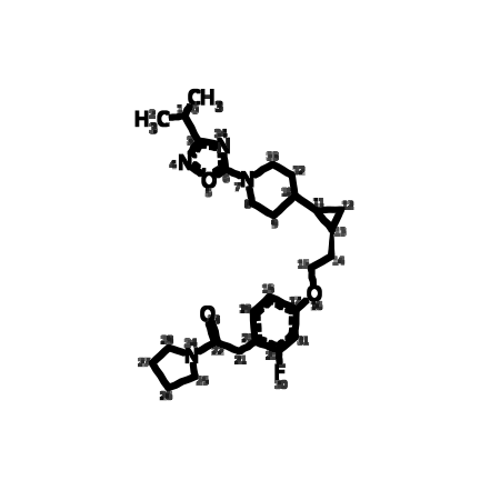 CC(C)c1noc(N2CCC(C3C[C@H]3CCOc3ccc(CC(=O)N4CCCC4)c(F)c3)CC2)n1